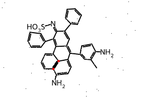 Cc1cc(C(=C2C=C(c3ccccc3)C(=NS(=O)(=O)O)C(c3ccccc3)=C2c2ccccc2)c2ccc(N)cc2)ccc1N